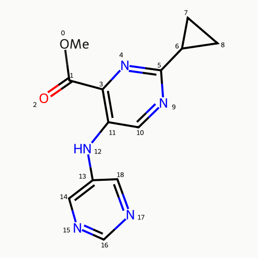 COC(=O)c1nc(C2CC2)ncc1Nc1cncnc1